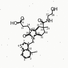 Cc1cccc2scc(Cn3c4c(n(CCC(=O)O)c3=O)=CC(C)(C(=O)NCCO)CC=4)c12